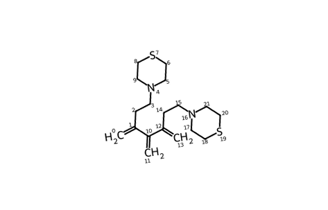 C=C(CCN1CCSCC1)C(=C)C(=C)CCN1CCSCC1